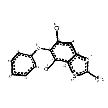 Nc1nc2cc(Cl)c(Oc3ccccc3)c(Cl)c2s1